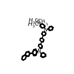 C[Si](C)(C)c1ccc(N(c2ccccc2)c2ccc(-c3ccc(-c4ccc(N(c5ccccc5)c5ccc(-c6ccc7ccccc7c6)cc5)cc4)cc3)cc2)cc1